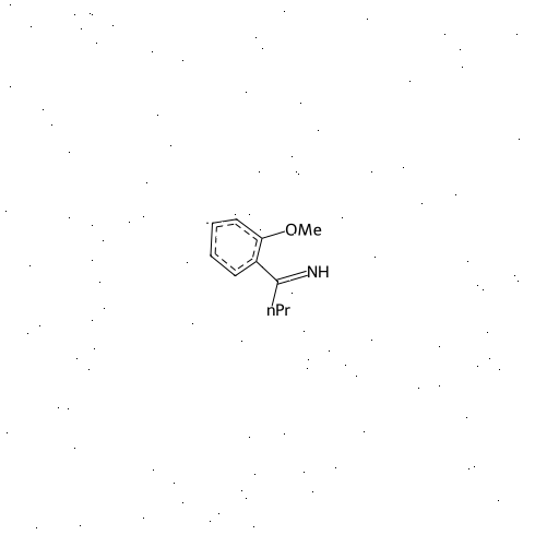 CCCC(=N)c1cc[c]cc1OC